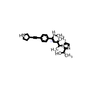 C=C(/C=C(\PC)c1ccc(C#CC2CCNC2)cc1)C(C)n1ccnc1[C@H](C)O